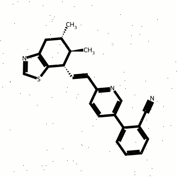 C[C@H]1[C@H](/C=C/c2ccc(-c3ccccc3C#N)cn2)c2scnc2C[C@@H]1C